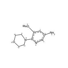 COc1cc(N)nnc1N1CCOCC1